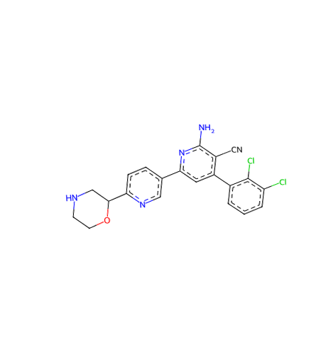 N#Cc1c(-c2cccc(Cl)c2Cl)cc(-c2ccc(C3CNCCO3)nc2)nc1N